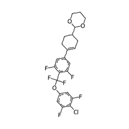 Fc1cc(OC(F)(F)c2c(F)cc(C3=CCC(C4OCCCO4)CC3)cc2F)cc(F)c1Cl